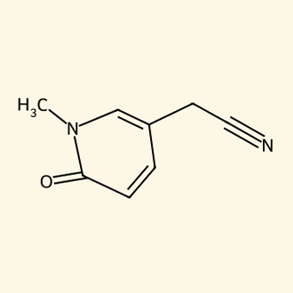 Cn1cc(CC#N)ccc1=O